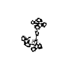 c1ccc(-c2ccccc2-c2nc(-c3ccc(-c4ccc5c(c4)-c4ccccc4C5(c4ccccc4)c4ccccc4)cc3)nc(-c3cccc4c3sc3ccccc34)n2)cc1